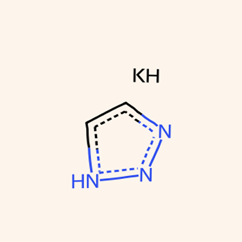 [KH].c1c[nH]nn1